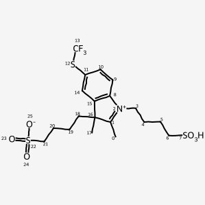 CC1=[N+](CCCCS(=O)(=O)O)c2ccc(SC(F)(F)F)cc2C1(C)CCCCS(=O)(=O)[O-]